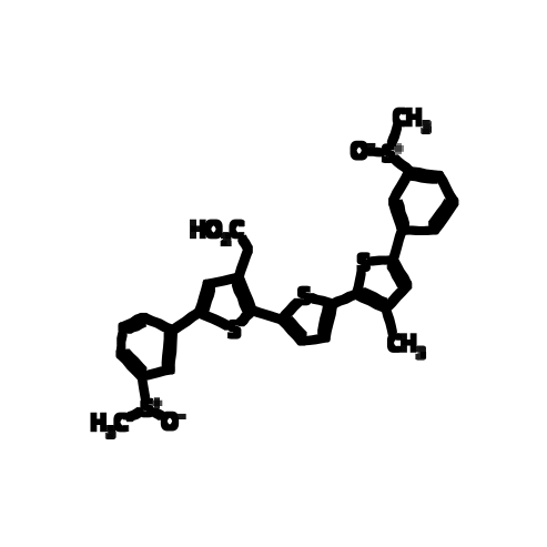 Cc1cc(-c2cccc([S+](C)[O-])c2)sc1-c1ccc(-c2sc(-c3cccc([S+](C)[O-])c3)cc2CC(=O)O)s1